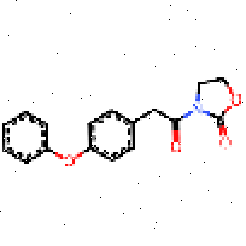 O=C(Cc1ccc(Oc2ccccc2)cc1)N1CCOC1=O